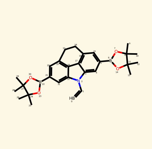 B=Cn1c2cc(B3OC(C)(C)C(C)(C)O3)cc3c2c2c(cc(B4OC(C)(C)C(C)(C)O4)cc21)CC3